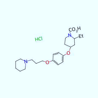 CCC1CC(Oc2ccc(OCCCN3CCCCC3)cc2)CCN1C(=O)O.Cl